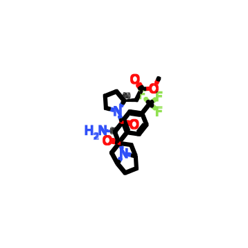 COC(=O)C[C@@H]1CCCN1C(=O)[C@@H](N)C1CC2CCC(C1)N2C(=O)c1ccc(C(F)(F)F)cc1